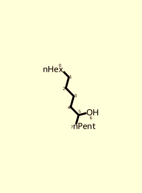 CCCCCCCCCCC(O)CCCCC